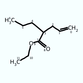 C=CCC(CCC)C(=O)OCC